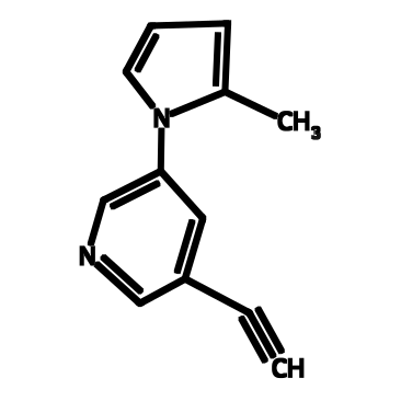 C#Cc1cncc(-n2cccc2C)c1